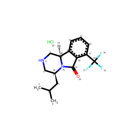 CC(C)C[C@H]1CNC[C@H]2c3cccc(C(F)(F)F)c3C(=O)N12.Cl